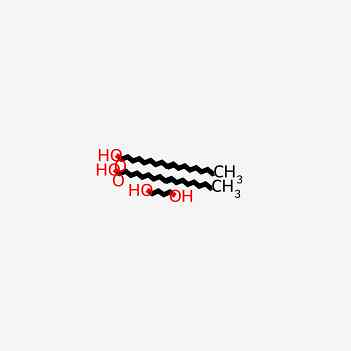 CCCCCCCCC=CCCCCCCCC(=O)O.CCCCCCCCC=CCCCCCCCC(=O)O.OCCCCO